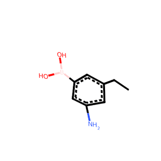 CCc1cc(N)cc(B(O)O)c1